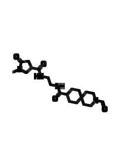 CN1CC(C(=O)NCCNC(=O)C2CCC3(CC2)CCN(C=O)CC3)CC1=O